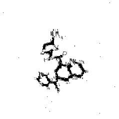 Cc1csc(NC(=O)c2cc(C(F)c3cncnc3)cc3cccnc23)n1